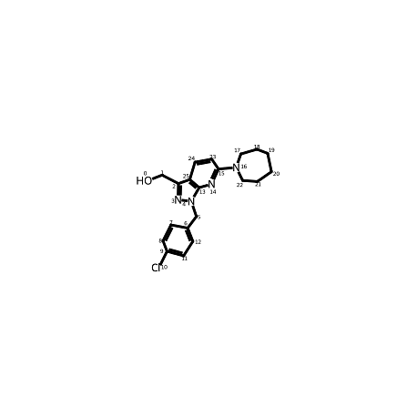 OCc1nn(Cc2ccc(Cl)cc2)c2nc(N3CCCCCC3)ccc12